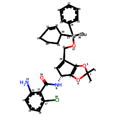 CC1(C)OC2=C(O1)[C@H](NC(=O)c1c(N)cccc1Cl)C=C2CO[Si](c1ccccc1)(C1C=CCCC1)C(C)(C)C